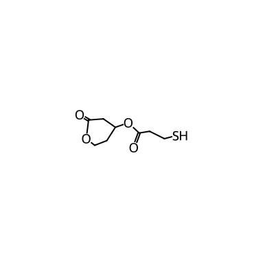 O=C1CC(OC(=O)CCS)CCO1